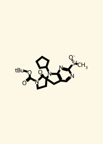 C[S+]([O-])c1ncc2c(n1)N(C1CCCC1)C1(CCN(C(=O)OC(C)(C)C)C1=O)C2